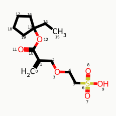 C=C(COCCS(=O)(=O)O)C(=O)OC1(CC)CCCC1